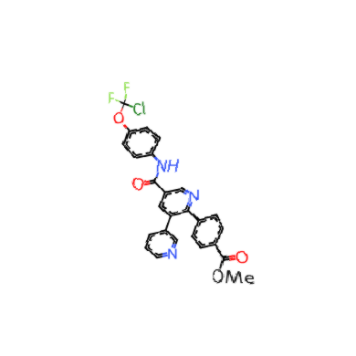 COC(=O)c1ccc(-c2ncc(C(=O)Nc3ccc(OC(F)(F)Cl)cc3)cc2-c2cccnc2)cc1